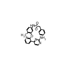 Cc1ccc(NS(=O)(=O)Cc2ccccc2)cc1Oc1ncccc1-c1ccnc(N)n1